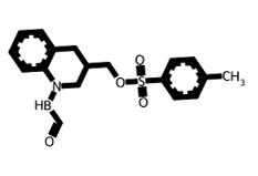 Cc1ccc(S(=O)(=O)OCC2Cc3ccccc3N(BC=O)C2)cc1